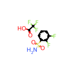 NS(=O)(=O)c1cccc(F)c1F.O=C(O)C(F)(F)F